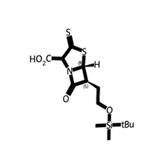 CC(C)(C)[Si](C)(C)OCC[C@H]1C(=O)N2C(C(=O)O)C(=S)S[C@H]12